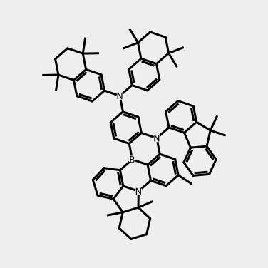 Cc1cc2c3c(c1)N1c4c(cccc4C4(C)CCCCC14C)B3c1ccc(N(c3ccc4c(c3)C(C)(C)CCC4(C)C)c3ccc4c(c3)C(C)(C)CCC4(C)C)cc1N2c1cccc2c1-c1ccccc1C2(C)C